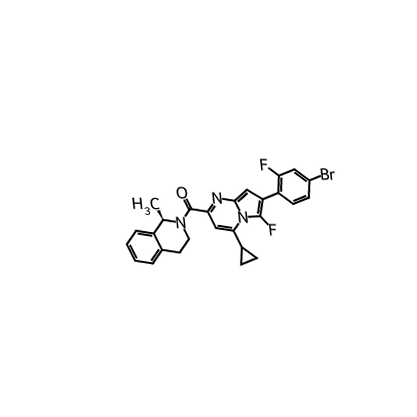 C[C@@H]1c2ccccc2CCN1C(=O)c1cc(C2CC2)n2c(F)c(-c3ccc(Br)cc3F)cc2n1